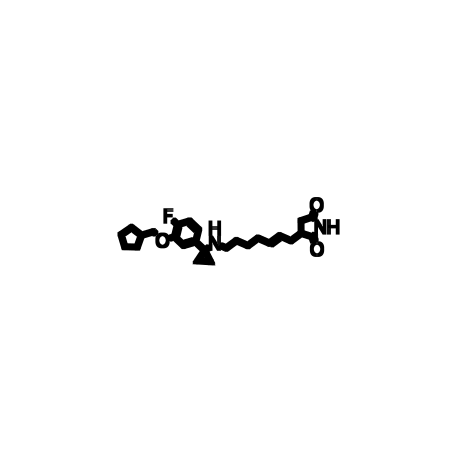 O=C1CC(C/C=C/CCCCNC2(c3ccc(F)c(OCC4CCCC4)c3)CC2)C(=O)N1